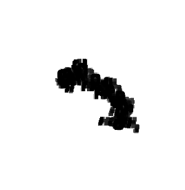 Cn1cc(NC(=O)c2nccn2C)cc1C(=O)NCCC(=O)Nc1cn(C)c(C(=O)Nc2cc(C(=O)NCC3(CC(=O)Nc4cn(C)c(C(=O)O)n4)CC3)n(C)c2)n1